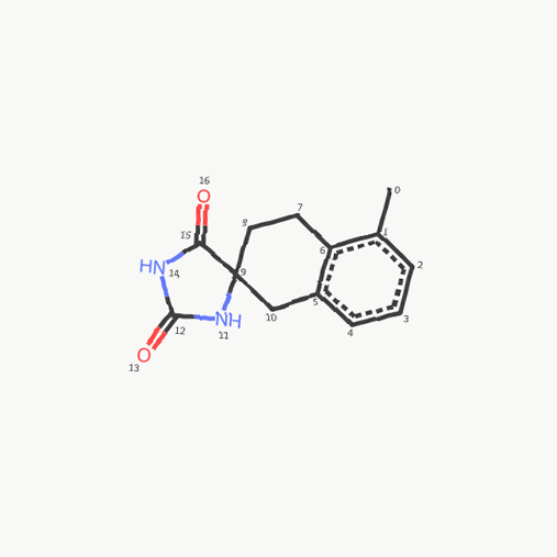 Cc1cccc2c1CCC1(C2)NC(=O)NC1=O